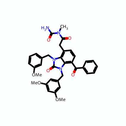 COc1cccc(Cn2c(=O)n(Cc3cc(OC)cc(OC)c3)c3c(C(=O)c4ccccc4)ccc(CC(=O)N(C)C(N)=O)c32)c1